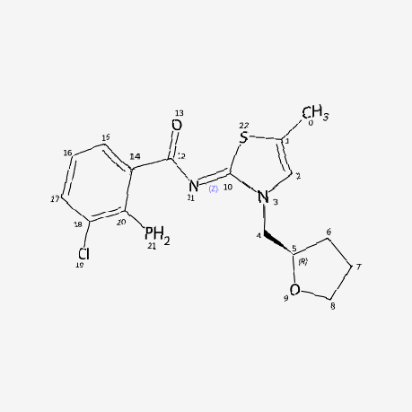 Cc1cn(C[C@H]2CCCO2)/c(=N/C(=O)c2cccc(Cl)c2P)s1